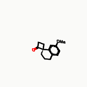 COc1ccc2c(c1)[C@]1(CCC2)CCC1=O